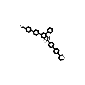 N#Cc1ccc(-c2ccc(-c3cc(-c4ccccc4)c4nc(-c5ccc(-c6ccc(-c7cccnc7)cc6)cc5)oc4c3)cc2)cc1